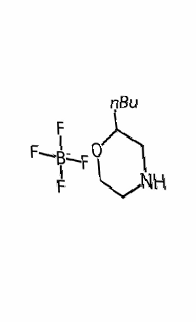 CCCCC1CNCCO1.F[B-](F)(F)F